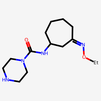 CCON=C1CCCCC(NC(=O)N2CCNCC2)C1